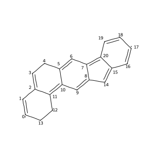 [C]1=CC2=CCc3cc4c(cc3=C2CC1)C=c1c[c]ccc1=4